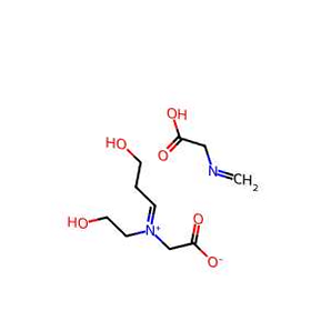 C=NCC(=O)O.O=C([O-])C[N+](=CCCO)CCO